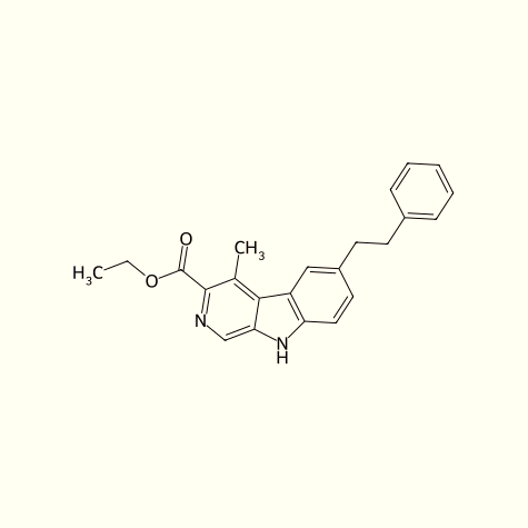 CCOC(=O)c1ncc2[nH]c3ccc(CCc4ccccc4)cc3c2c1C